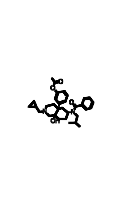 CC(=O)Oc1cccc([C@@]23CCN(CC4CC4)C[C@@]2(O)CC[C@@H](N(CC(C)C)C(=O)c2ccccc2)C3)c1